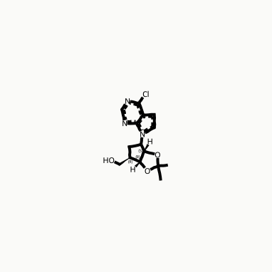 CC1(C)O[C@@H]2[C@@H](CO)CC(n3ccc4c(Cl)ncnc43)[C@@H]2O1